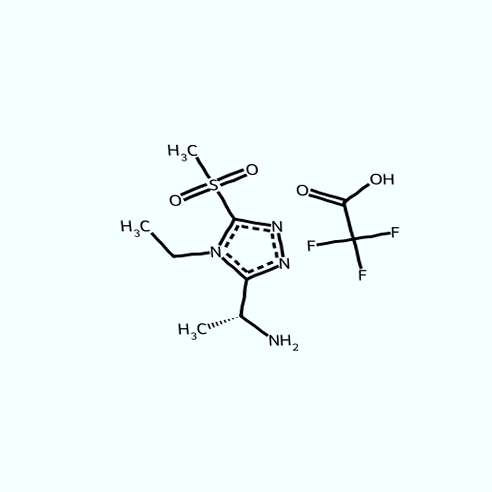 CCn1c([C@@H](C)N)nnc1S(C)(=O)=O.O=C(O)C(F)(F)F